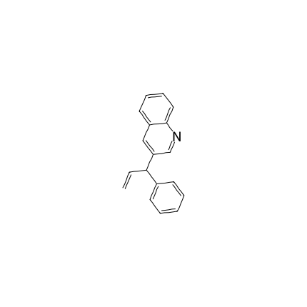 C=CC(c1ccccc1)c1cnc2ccccc2c1